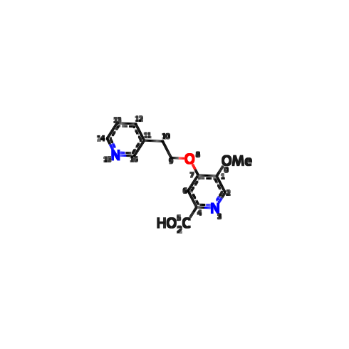 COc1cnc(C(=O)O)cc1OCCc1cccnc1